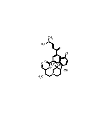 C[C@@H](CN1CC[C@](O)(c2ccc(Cl)cc2)C(C)(C)C1)C(C=O)NC(=O)c1cccc(C(=O)/C=C/N(C)C)c1